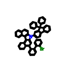 Brc1ccccc1-c1ccccc1-c1cc2c(c3ccccc13)c1c3ccccc3ccc1n2-c1ccc2c(c1)C(c1ccccc1)(c1ccccc1)c1ccccc1-2